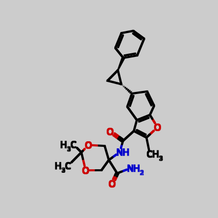 Cc1oc2ccc([C@@H]3C[C@H]3c3ccccc3)cc2c1C(=O)NC1(C(N)=O)COC(C)(C)OC1